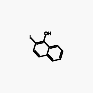 Oc1c(I)ccc2ccccc12